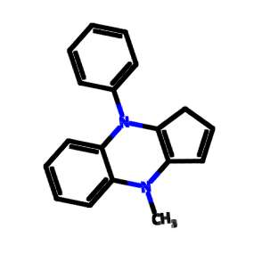 CN1C2=C(CC=C2)N(c2ccccc2)c2ccccc21